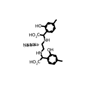 Cc1ccc(C(NCCNC(C(=O)O)c2ccc(C)cc2O)C(=O)O)c(O)c1.[Na].[Na].[Na].[Na]